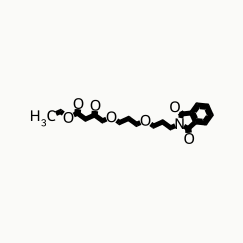 CCOC(=O)CC(=O)COCCCOCCCN1C(=O)c2ccccc2C1=O